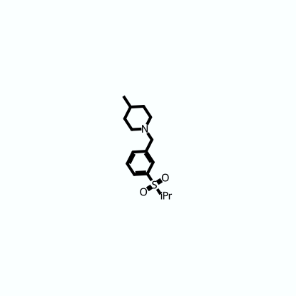 CC1CCN(Cc2cccc(S(=O)(=O)C(C)C)c2)CC1